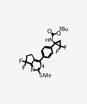 CSc1nc(-c2ccc(C3(NC(=O)OC(C)(C)C)CC3(F)F)cc2)c2c(n1)C(F)(F)CC2